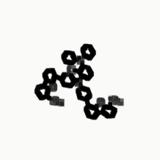 CC(C)(C)c1cccc2c1oc1c(-c3ccc(N(c4ccc(-c5cccc6c5oc5c(C(C)(C)C)cccc56)cc4)c4cccc(N(c5ccccc5)c5ccccc5)c4Cl)cc3)cccc12